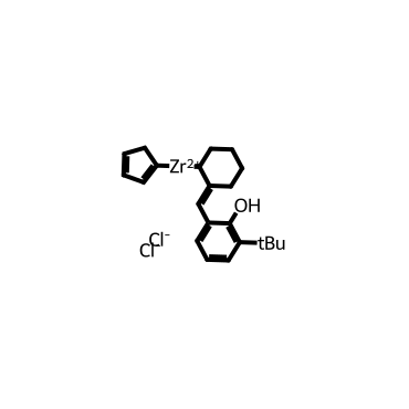 CC(C)(C)c1cccc(C=C2CCCC[CH]2[Zr+2][C]2=CC=CC2)c1O.[Cl-].[Cl-]